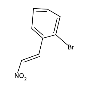 O=[N+]([O-])C=Cc1ccccc1Br